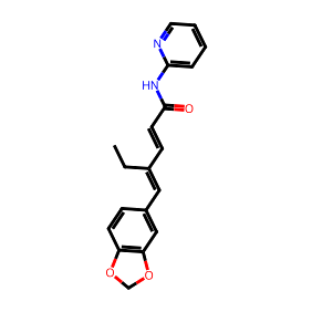 CCC(/C=C/C(=O)Nc1ccccn1)=C\c1ccc2c(c1)OCO2